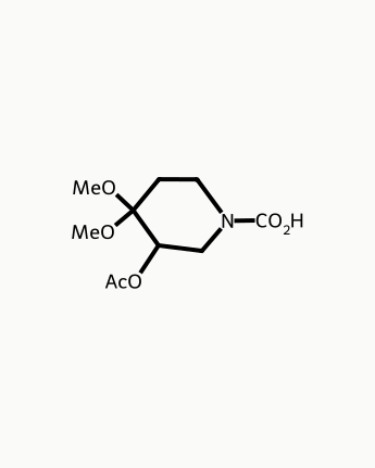 COC1(OC)CCN(C(=O)O)CC1OC(C)=O